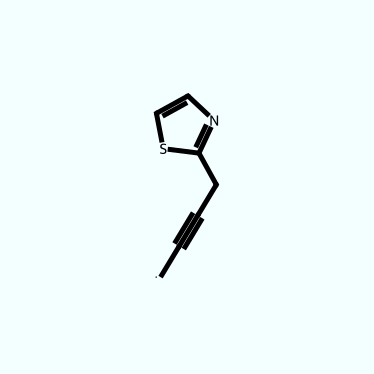 [CH2]C#CCc1nccs1